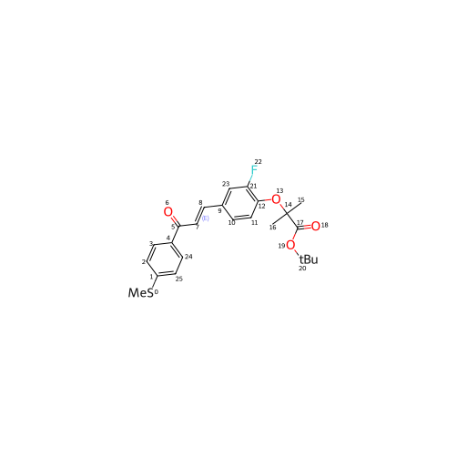 CSc1ccc(C(=O)/C=C/c2ccc(OC(C)(C)C(=O)OC(C)(C)C)c(F)c2)cc1